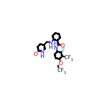 O=C(Nc1ccc(OCC(F)(F)F)c(C(F)(F)F)c1F)c1ccccc1NCc1ccc(=O)[nH]c1